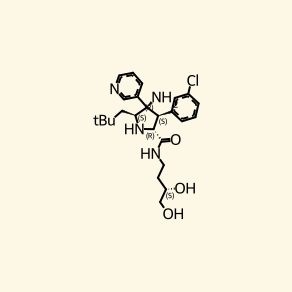 CC(C)(C)C[C@@H]1N[C@@H](C(=O)NCC[C@H](O)CO)[C@H](c2cccc(Cl)c2)[C@@]1(N)c1cccnc1